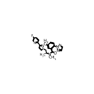 Cc1ccc(-n2nccn2)c(C(=O)N(C)[C@@H](C)Cn2ccc(-c3ccc(F)cn3)n2)c1